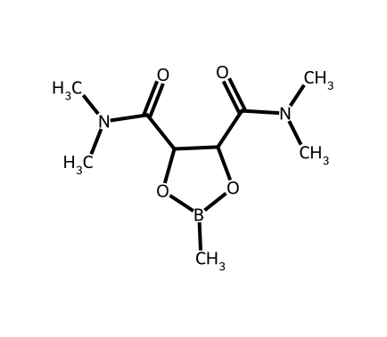 CB1OC(C(=O)N(C)C)C(C(=O)N(C)C)O1